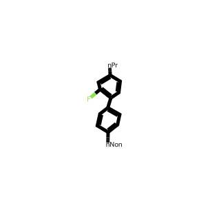 CCCCCCCCCc1ccc(-c2ccc(CCC)cc2F)cc1